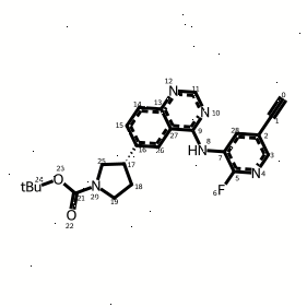 C#Cc1cnc(F)c(Nc2ncnc3ccc([C@@H]4CCN(C(=O)OC(C)(C)C)C4)cc23)c1